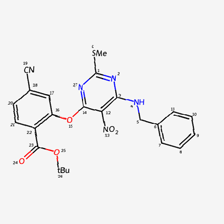 CSc1nc(NCc2ccccc2)c([N+](=O)[O-])c(Oc2cc(C#N)ccc2C(=O)OC(C)(C)C)n1